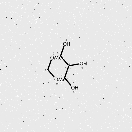 COCOC.OCC(O)CO